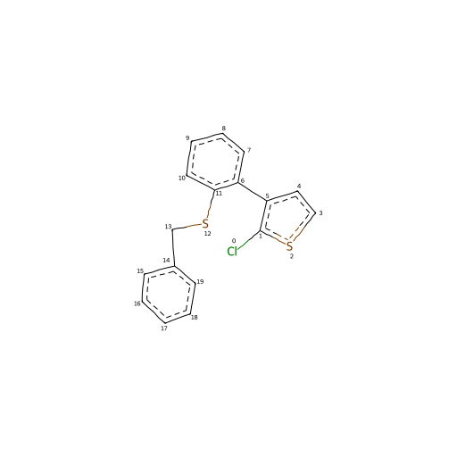 Clc1sccc1-c1ccccc1SCc1ccccc1